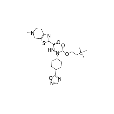 CN1CCc2nc(C(=O)NN(C(=O)OCC[Si](C)(C)C)C3CCC(c4ncno4)CC3)sc2C1